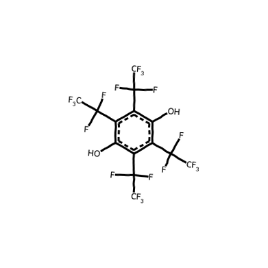 Oc1c(C(F)(F)C(F)(F)F)c(C(F)(F)C(F)(F)F)c(O)c(C(F)(F)C(F)(F)F)c1C(F)(F)C(F)(F)F